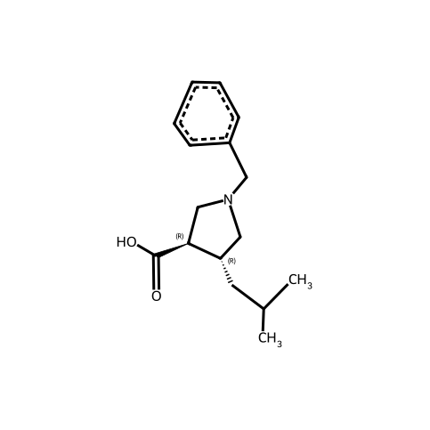 CC(C)C[C@H]1CN(Cc2ccccc2)C[C@@H]1C(=O)O